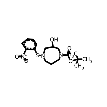 CC(C)(C)OC(=O)N1CCCN(Sc2ccccc2[N+](=O)[O-])CC(O)C1